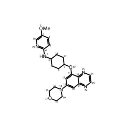 COc1ccc(NC2CCC(Oc3cc(N4CCOCC4)cc4nccnc34)CC2)nc1